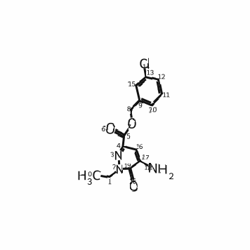 CCn1nc(C(=O)OCc2cccc(Cl)c2)cc(N)c1=O